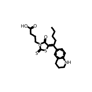 CCCCC(=C1SC(=S)N(CCCC(=O)O)C1=O)c1ccc2c(c1)CCCN2